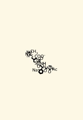 CC(=O)N1CCN(C(=O)NC(C(=O)NC2C(=O)N3C(C(=O)[O-])=C(CSc4nnnn4C)CS[C@@H]23)c2ccccc2)C1=O.[Na+]